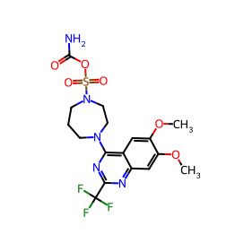 COc1cc2nc(C(F)(F)F)nc(N3CCCN(S(=O)(=O)OC(N)=O)CC3)c2cc1OC